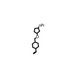 C=CC1CCC(COC2CCC(CCC)C2)CC1